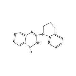 O=c1[nH]c(N2CCCc3ccccc32)nc2ccccc12